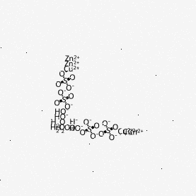 O.O.O.O=S(=O)([O-])[O-].O=S(=O)([O-])[O-].O=S(=O)([O-])[O-].O=S(=O)([O-])[O-].[Cu+2].[Cu+2].[Cu+2].[OH-].[OH-].[OH-].[OH-].[Zn+2].[Zn+2].[Zn+2]